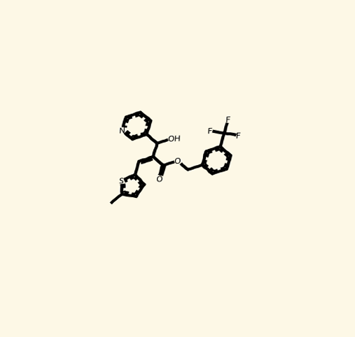 Cc1ccc(/C=C(\C(=O)OCc2cccc(C(F)(F)F)c2)C(O)c2cccnc2)s1